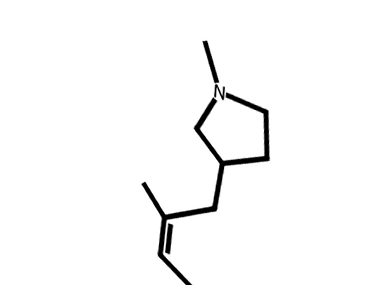 C/C=C(/C)CC1CCN(C)C1